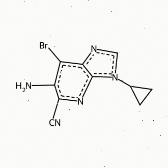 N#Cc1nc2c(ncn2C2CC2)c(Br)c1N